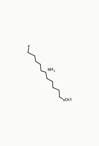 CCCCCCCCCCCCCCCCCCCF.N